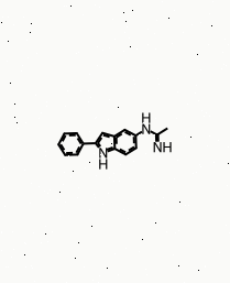 CC(=N)Nc1ccc2[nH]c(-c3ccccc3)cc2c1